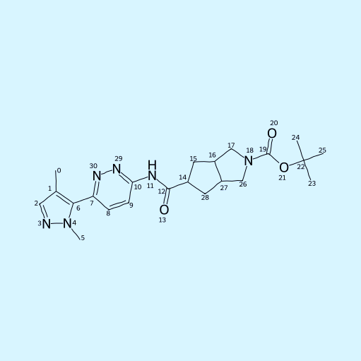 Cc1cnn(C)c1-c1ccc(NC(=O)C2CC3CN(C(=O)OC(C)(C)C)CC3C2)nn1